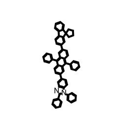 c1ccc(-c2c3ccc(-c4ccc5c(c4)nc(-c4ccccc4)n5-c4ccccc4)cc3c(-c3ccccc3)c3ccc(-c4ccc5c(c4)C4(CCCC4)c4ccccc4-5)cc23)cc1